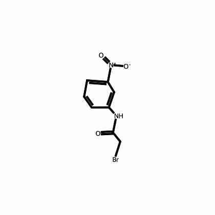 O=C(CBr)Nc1cccc([N+](=O)[O-])c1